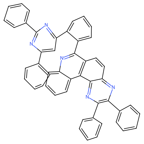 c1ccc(-c2cc(-c3ccccc3-c3nc4ccccc4c4c3ccc3nc(-c5ccccc5)c(-c5ccccc5)nc34)nc(-c3ccccc3)n2)cc1